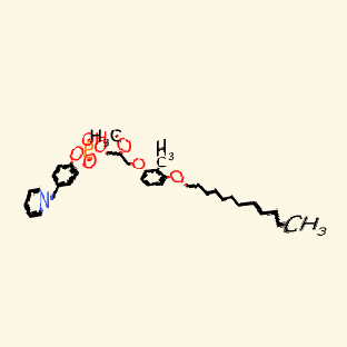 CCCCCCCCCCCCOc1cccc(OCC(COP(=O)(O)Oc2ccc(C[n+]3ccccc3)cc2)OC)c1C